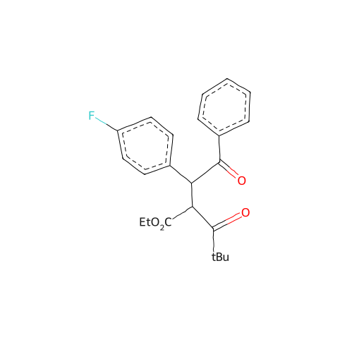 CCOC(=O)C(C(=O)C(C)(C)C)C(C(=O)c1ccccc1)c1ccc(F)cc1